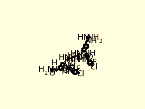 N=C(N)NCc1ccc2c(c1)C[C@H](CNC(=N)NCCNC(=N)NC[C@H]1Cc3cc(CNC(N)=O)ccc3[C@@H]1NC(=O)C(=O)Nc1ccc(Cl)c(F)c1)[C@H]2NC(=O)C(=O)Nc1ccc(Cl)c(F)c1